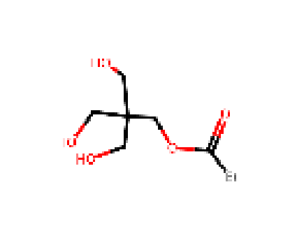 CCC(=O)OCC(CO)(CO)CO